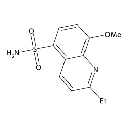 CCc1ccc2c(S(N)(=O)=O)ccc(OC)c2n1